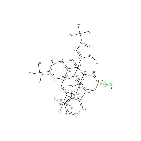 Cl.Cl.[CH2]=[Zr]([C]1=CC(C(C)(C)C)=CC1C)([c]1ccc(C(C)(C)C)cc1)([c]1ccc(C(C)(C)C)cc1)[c]1cccc2c1Cc1ccccc1-2